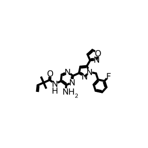 C=CC(C)(C)C(=O)Nc1cnc(-c2cc(-c3ccon3)n(Cc3ccccc3F)n2)nc1N